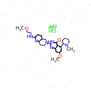 COCCNc1ccc2c(n1)CCN(c1nc3cc(OC)cc(C4CCCCN4C)c3c(=O)[nH]1)C2.Cl.Cl.Cl